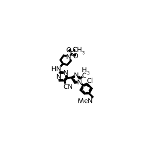 CNCc1ccc(-n2cc(-c3nc(NC4CCN(S(C)(=O)=O)CC4)ncc3C#N)nc2C)c(Cl)c1